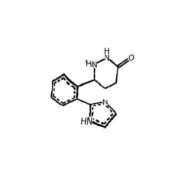 O=C1CCC(c2ccccc2-c2ncc[nH]2)NN1